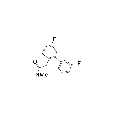 CNC(=O)Cc1ccc(F)cc1-c1cccc(F)c1